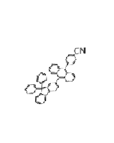 N#Cc1ccc(-c2c3ccccc3c(-c3ccc4c(c3)C(c3ccccc3)(c3ccccc3)c3ccccc3-4)c3ccccc23)cc1